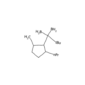 BC(B)(C1C(C)CCC1CCC)C(C)(C)C